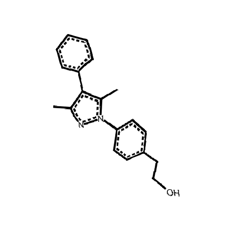 Cc1nn(-c2ccc(CCO)cc2)c(C)c1-c1ccccc1